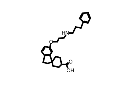 O=C(O)C1CCC2(CCc3ccc(OCCCNCCCc4ccccc4)cc32)CC1